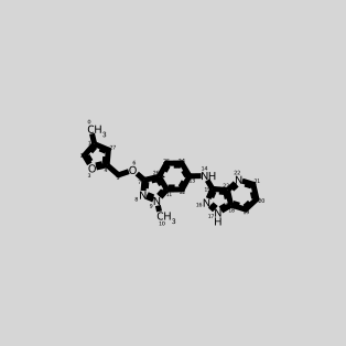 Cc1coc(COc2nn(C)c3cc(Nc4n[nH]c5cccnc45)ccc23)c1